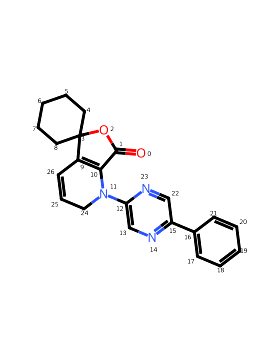 O=C1OC2(CCCCC2)C2=C1N(c1cnc(-c3ccccc3)cn1)CC=C2